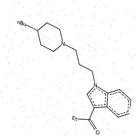 CCCCC1CCN(CCCn2cc(C(=O)CC)c3ccccc32)CC1